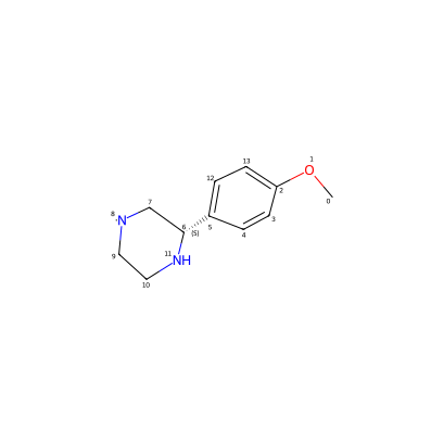 COc1ccc([C@H]2C[N]CCN2)cc1